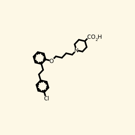 O=C(O)C1CCN(CCCCOc2ccccc2CCc2ccc(Cl)cc2)CC1